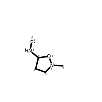 CCNC1CCN(C)O1